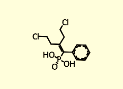 O=P(O)(O)C(=C(CCCl)CCCl)c1ccccc1